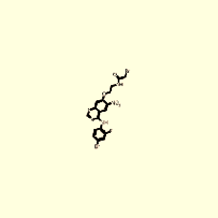 O=C(CBr)NCCOc1cc2ncnc(Nc3ccc(Br)cc3F)c2cc1[N+](=O)[O-]